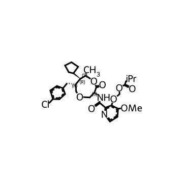 COc1ccnc(C(=O)N[C@H]2COC[C@H](Cc3ccc(Cl)cc3)[C@@H](C3CCCC3)[C@H](C)OC2=O)c1OCOC(=O)C(C)C